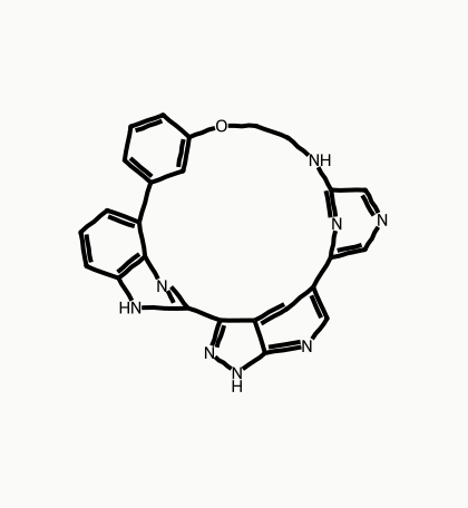 c1cc2cc(c1)-c1cccc3[nH]c(nc13)-c1n[nH]c3ncc(cc13)-c1cncc(n1)NCCO2